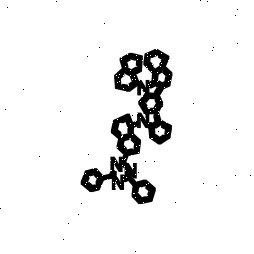 c1ccc(-c2nc(-c3ccccc3)nc(-c3ccc4c(-n5c6ccccc6c6cc7c8ccc9ccccc9c8n(-c8cccc9ccccc89)c7cc65)cccc4c3)n2)cc1